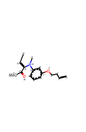 C=CCCOc1cccc(N(C)/C(=C\C)C(=O)OC)c1